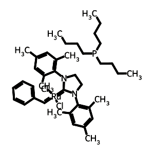 CCCCP(CCCC)CCCC.Cc1cc(C)c(N2CCN(c3c(C)cc(C)cc3C)[C]2=[Ru]([Cl])([Cl])=[CH]c2ccccc2)c(C)c1